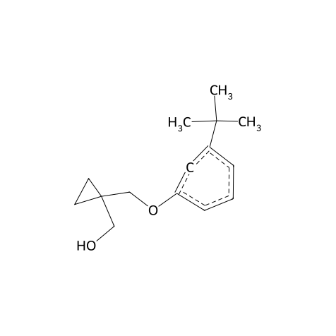 CC(C)(C)c1cccc(OCC2(CO)CC2)c1